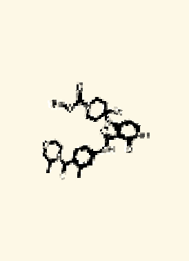 CCC1(n2nc(Nc3ccc(C(=O)N4CCOCC4C)c(C)c3)c3c(=O)[nH]ccc32)CCN(C(=O)OC(C)(C)C)CC1